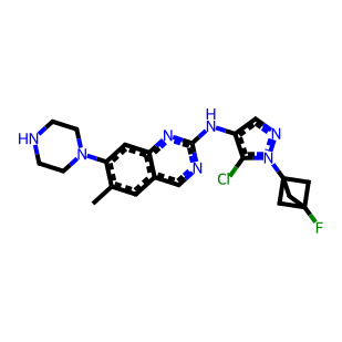 Cc1cc2cnc(Nc3cnn(C45CC(F)(C4)C5)c3Cl)nc2cc1N1CCNCC1